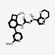 COc1cc(-c2ccc3c(c2NC(=O)N=[SH](=O)c2cnn4c2OCCC4)[C@H](C)C3)ccn1